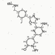 Cc1cc(CNC(C)(C)C)ccc1-c1nnc(-c2nc(-c3ccc(=O)n(C(C)C)c3)cnc2N)o1